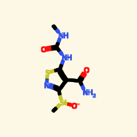 CNC(=O)Nc1snc([S+](C)[O-])c1C(N)=O